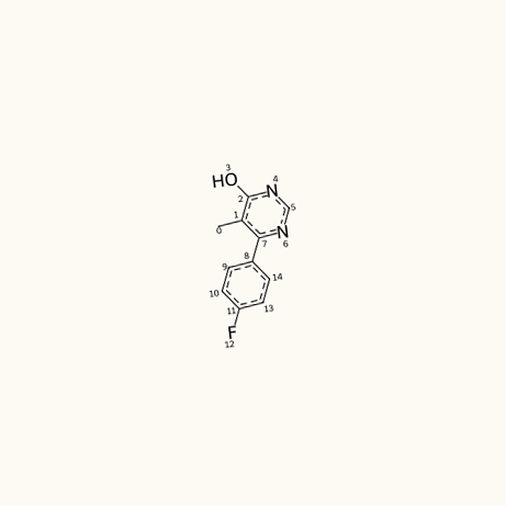 Cc1c(O)ncnc1-c1ccc(F)cc1